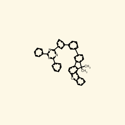 CC1(C)c2ccc(-c3cccc(-c4cccc(-c5nc(-c6ccccc6)nc(-c6ccccc6)n5)c4)c3)cc2-c2ccc3oc4ccccc4c3c21